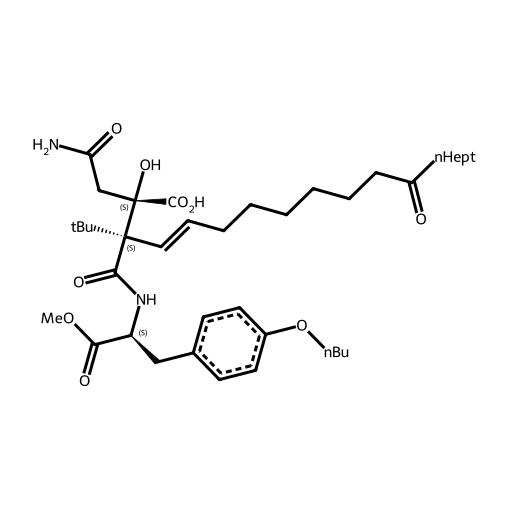 CCCCCCCC(=O)CCCCCCC=C[C@](C(=O)N[C@@H](Cc1ccc(OCCCC)cc1)C(=O)OC)(C(C)(C)C)[C@@](O)(CC(N)=O)C(=O)O